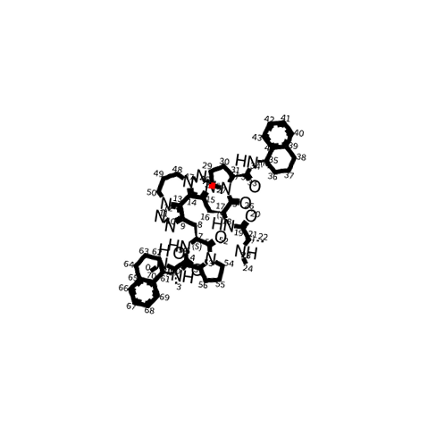 CN[C@@H](C)C(=O)N[C@@H](Cc1nnn2c1-c1c(C[C@H](NC(=O)[C@H](C)NC)C(=O)N3CCC[C@H]3C(=O)N[C@@H]3CCCc4ccccc43)nnn1CCC2)C(=O)N1CCCC1C(=O)N[C@@H]1CCCc2ccccc21